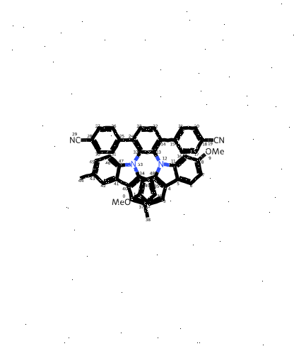 COc1ccc2c3ccc(OC)cc3n(-c3c(-c4ccc(C#N)cc4)ccc(-c4ccc(C#N)cc4)c3-n3c4ccc(C)cc4c4cc(C)ccc43)c2c1